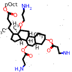 CCCCCCCCOC(=O)CC[C@@H](C)C1CC[C@H]2[C@@H]3[C@H](OC(=O)CCN)C[C@H]4C[C@H](OC(=O)CCN)CC[C@]4(C)[C@H]3C[C@H](OCCCN)[C@]12C